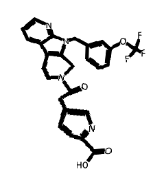 O=C(O)c1ccc(CC(=O)N2CCc3c(n(Cc4cccc(OC(F)(F)F)c4)c4ncccc34)C2)cn1